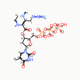 C=N/C(CN=[N+]=[N-])=C(\N=C/C)C(=O)OC1C[C@H](n2cc(C)c(=O)[nH]c2=O)O[C@@H]1COP(=O)(O)OP(=O)(O)OP(=O)(O)O